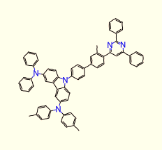 Cc1ccc(N(c2ccc(C)cc2)c2ccc3c(c2)c2cc(N(c4ccccc4)c4ccccc4)ccc2n3-c2ccc(-c3ccc(-c4cc(-c5ccccc5)nc(-c5ccccc5)n4)c(C)c3)cc2)cc1